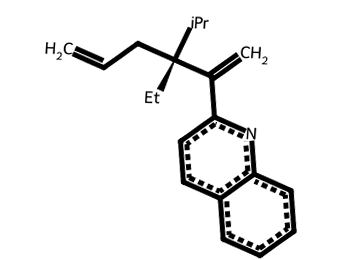 C=CC[C@@](CC)(C(=C)c1ccc2ccccc2n1)C(C)C